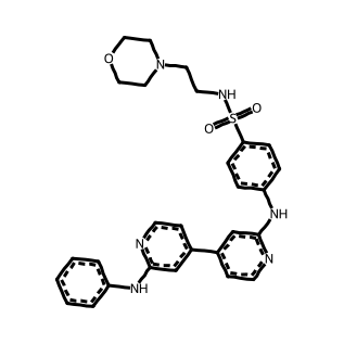 O=S(=O)(NCCN1CCOCC1)c1ccc(Nc2cc(-c3ccnc(Nc4ccccc4)c3)ccn2)cc1